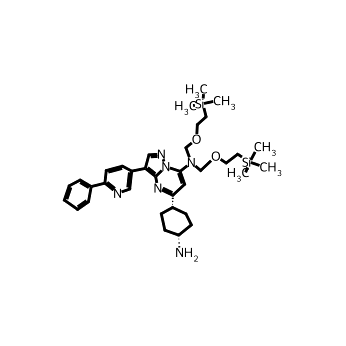 C[Si](C)(C)CCOCN(COCC[Si](C)(C)C)c1cc([C@H]2CC[C@@H](N)CC2)nc2c(-c3ccc(-c4ccccc4)nc3)cnn12